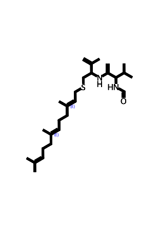 C=C(C)C(CSC/C=C(\C)CC/C=C(\C)CCC=C(C)C)NC(=C)C(NC=O)C(C)C